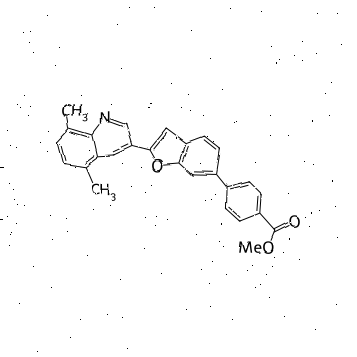 COC(=O)c1ccc(-c2ccc3cc(-c4cnc5c(C)ccc(C)c5c4)oc3c2)cc1